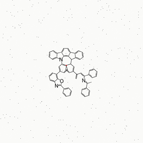 C=C(/C=C(\N=C(/C)c1ccccc1)c1ccccc1)C1=CC(C2c3ccccc3-c3ccc4c5ccccc5n(-c5cccc(-c6cccc7nc(-c8ccccc8)oc67)c5)c4c32)CC=C1